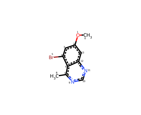 COc1cc(Br)c2c(C)ncnc2c1